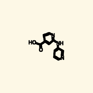 O=C(O)c1ccnc(Nc2cccnc2)c1